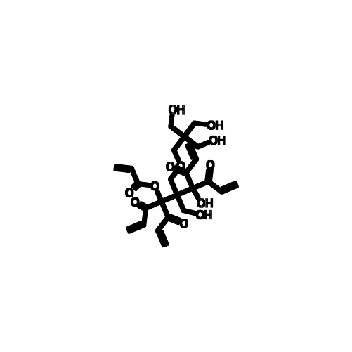 C=CC(=O)OC(C(=O)C=C)(C(=O)C=C)C(CO)(COCC(CO)(CO)CO)C(O)(C(=O)C=C)C(=O)C=C